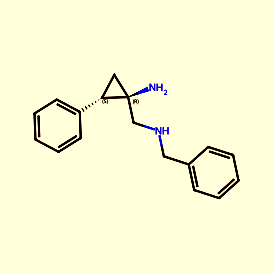 N[C@]1(CNCc2ccccc2)C[C@H]1c1ccccc1